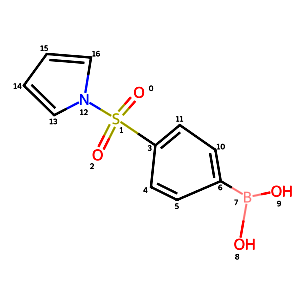 O=S(=O)(c1ccc(B(O)O)cc1)n1cccc1